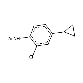 CC(=O)Nc1ccc(C2CC2)cc1Cl